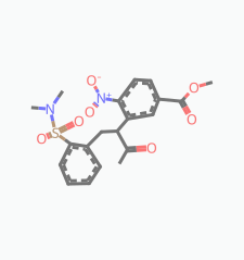 COC(=O)c1ccc([N+](=O)[O-])c(C(Cc2ccccc2S(=O)(=O)N(C)C)C(C)=O)c1